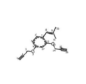 C#CCOc1ccc(C=C(C)C)c(OCC#C)c1